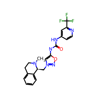 CN1CCc2ccccc2[C@@H]1C[n+]1cc([N-]C(=O)Nc2ccnc(C(F)(F)F)c2)on1